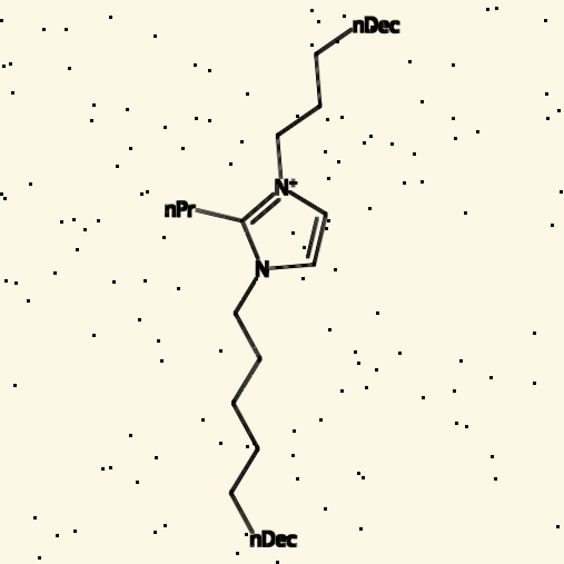 CCCCCCCCCCCCCCCn1cc[n+](CCCCCCCCCCCCC)c1CCC